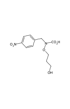 O=C(O)N(Cc1ccc([N+](=O)[O-])cc1)OCCCO